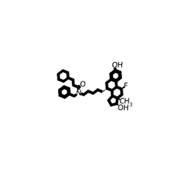 C[C@]12C[C@H](F)C3c4ccc(O)cc4C[C@@H](CCCCCN(Cc4ccccc4)C(=O)CCC4CCCCC4)C3C1CC[C@@H]2O